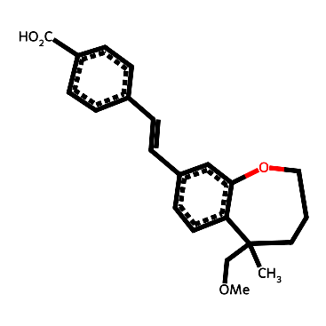 COCC1(C)CCCOc2cc(C=Cc3ccc(C(=O)O)cc3)ccc21